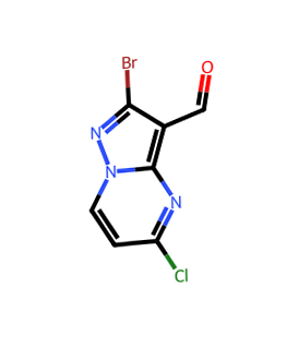 O=Cc1c(Br)nn2ccc(Cl)nc12